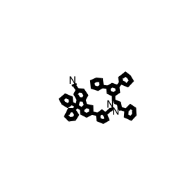 N#Cc1ccc2c(c1)C(c1ccccc1)(c1ccccc1)c1ccc(-c3cccc(-c4nc(-c5ccccc5)cc(-c5cc(-c6ccccc6)cc(-c6ccccc6)c5)n4)c3)cc1-2